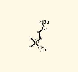 CC(C)(C)OCC[N+](C)(C)C(F)(F)F